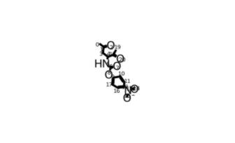 CC(=O)CC(NC(=O)Oc1ccc([N+](=O)[O-])cc1)C(C)=O